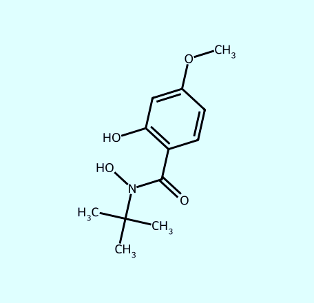 COc1ccc(C(=O)N(O)C(C)(C)C)c(O)c1